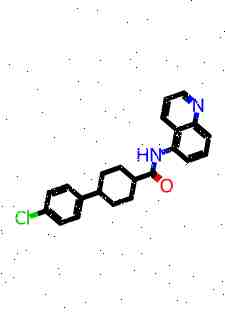 O=C(Nc1cccc2ncccc12)C1CCC(c2ccc(Cl)cc2)CC1